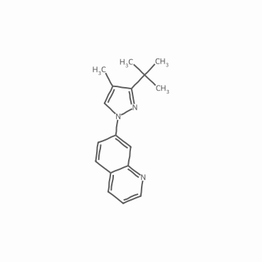 Cc1cn(-c2ccc3cccnc3c2)nc1C(C)(C)C